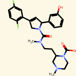 CN1CCN(C(=O)O)C(CCN(C)C(=O)N2CC(c3cc(F)ccc3F)=CC2c2cccc(O)c2)C1